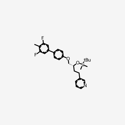 Cc1c(F)cc(-c2ccc(OC[C@@H](CCc3cccnc3)O[Si](C)(C)C(C)(C)C)cc2)cc1F